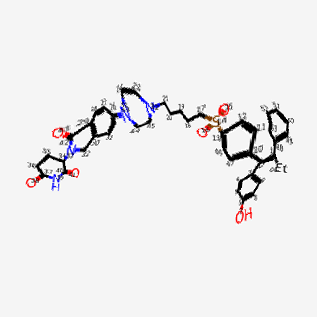 CC/C(=C(\c1ccc(O)cc1)c1ccc(S(=O)(=O)CCCCCN2CCN(c3ccc4c(c3)CN(C3CCC(=O)NC3=O)C4=O)CC2)cc1)c1ccccc1